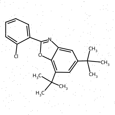 CC(C)(C)c1cc(C(C)(C)C)c2oc(-c3ccccc3Cl)nc2c1